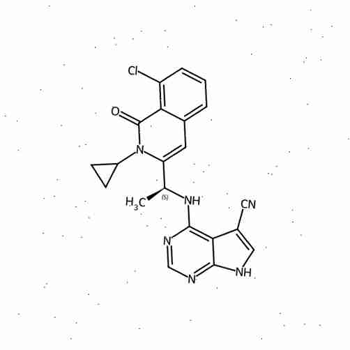 C[C@H](Nc1ncnc2[nH]cc(C#N)c12)c1cc2cccc(Cl)c2c(=O)n1C1CC1